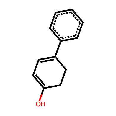 OC1=CC=C(c2ccccc2)CC1